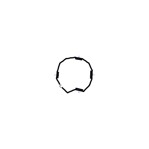 C1=C\C/C=C/CC/C=C\CC/C=C\C/1